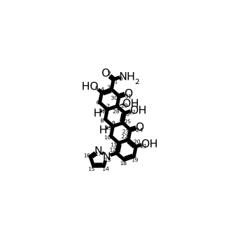 NC(=O)C1=C(O)C[C@@H]2C[C@@H]3Cc4c(-n5cccn5)ccc(O)c4C(=O)C3=C(O)[C@]2(O)C1=O